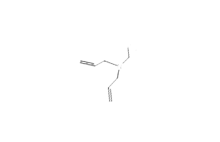 C=CCN(CC=C)CC(=O)OCC